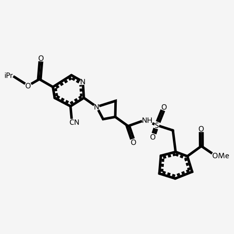 COC(=O)c1ccccc1CS(=O)(=O)NC(=O)C1CN(c2ncc(C(=O)OC(C)C)cc2C#N)C1